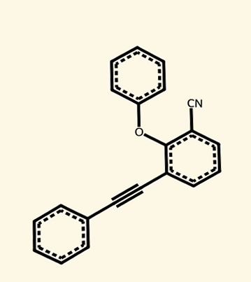 N#Cc1cccc(C#Cc2ccccc2)c1Oc1ccccc1